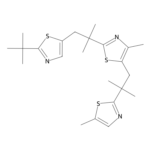 Cc1cnc(C(C)(C)Cc2sc(C(C)(C)Cc3cnc(C(C)(C)C)s3)nc2C)s1